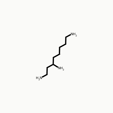 NCCC[CH]CC(N)CCN